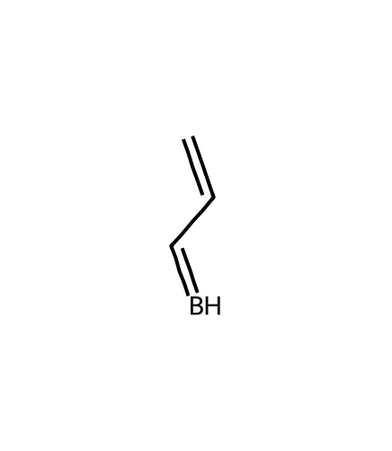 B=CC=C